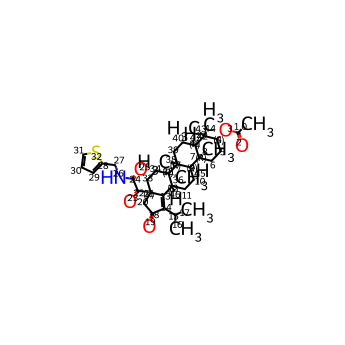 CC(=O)O[C@H]1CC[C@]2(C)[C@H]3CC[C@@H]4C5=C(C(C)C)C(=O)C[C@]5(C(=O)C(=O)NCc5cccs5)CC[C@@]4(C)[C@]3(C)CC[C@H]2C1(C)C